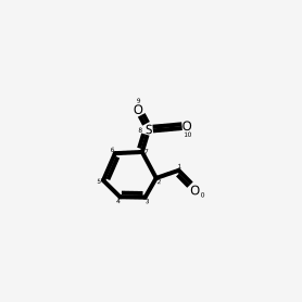 O=CC1C=CC=CC1=S(=O)=O